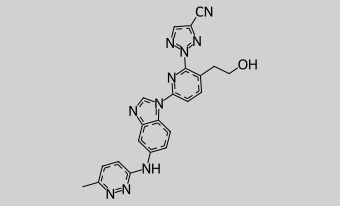 Cc1ccc(Nc2ccc3c(c2)ncn3-c2ccc(CCO)c(-n3ncc(C#N)n3)n2)nn1